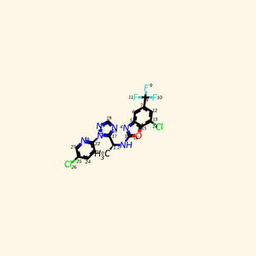 C[C@H](Nc1nc2cc(C(F)(F)F)cc(Cl)c2o1)c1ncnn1-c1ccc(Cl)cn1